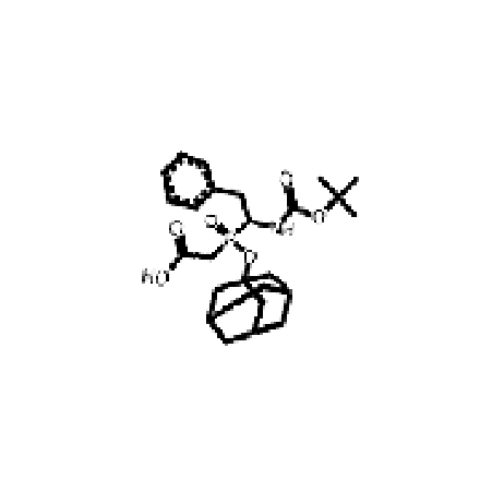 CC(C)(C)OC(=O)NC(Cc1ccccc1)P(=O)(CC(=O)O)OC12CC3CC(CC(C3)C1)C2